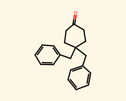 O=C1CCC(Cc2ccccc2)(Cc2ccccc2)CC1